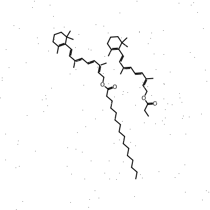 CCC(=O)OCC=C(C)C=CC=C(C)C=CC1=C(C)CCCC1(C)C.CCCCCCCCCCCCCCCC(=O)OCC=C(C)C=CC=C(C)C=CC1=C(C)CCCC1(C)C